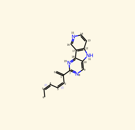 C=C(/C=C\C=C/C)c1ncc2[nH]c3ccncc3c2n1